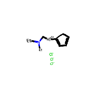 CCN(CC)[CH2][Hf+3][C]1=CC=CC1.[Cl-].[Cl-].[Cl-]